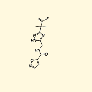 C=C(F)C(C)(C)c1n[nH]c(CNC(=O)c2ccno2)n1